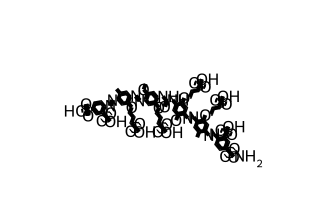 COc1cc(NC(=O)Nc2cc(OC)c(N=Nc3cc(C)c(N=Nc4ccc(S(=O)(=O)ON)cc4S(=O)(=O)O)cc3OCCCS(=O)(=O)O)cc2OCCCS(=O)(=O)O)c(OCCCS(=O)(=O)O)cc1N=Nc1cc(C)c(N=Nc2ccc(S(=O)(=O)O)cc2S(=O)(=O)O)cc1OCCCS(=O)(=O)O